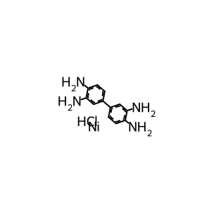 Cl.Nc1ccc(-c2ccc(N)c(N)c2)cc1N.[Ni]